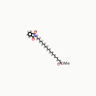 COC(=O)CCCCCCCCCCCCCCCCCCCN1C(=O)c2ccccc2C1=O